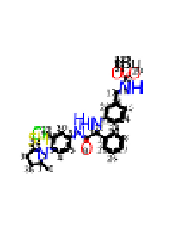 CC1=[N+](c2ccc(NC(=O)C(Nc3cccc(CNC(=O)OC(C)(C)C)c3)c3ccccc3)cc2Cl)C(S)CC1